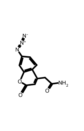 [N-]=[N+]=Nc1ccc2c(CC(N)=O)cc(=O)oc2c1